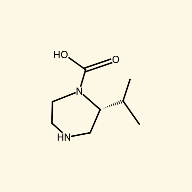 CC(C)[C@@H]1CNCCN1C(=O)O